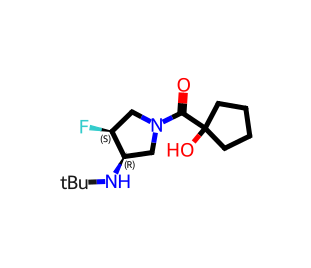 CC(C)(C)N[C@@H]1CN(C(=O)C2(O)CCCC2)C[C@@H]1F